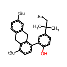 CC(C)(C)CC(C)(C)c1ccc(O)c(-c2ccc(C(C)(C)C)c3c2Cc2cc(C(C)(C)C)ccc2C3)c1